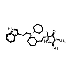 CN1C(=N)N[C@](CCC2CCCCC2)(C[C@H]2CCC[C@@H](NCCc3c[nH]c4ccccc34)C2)C1=O